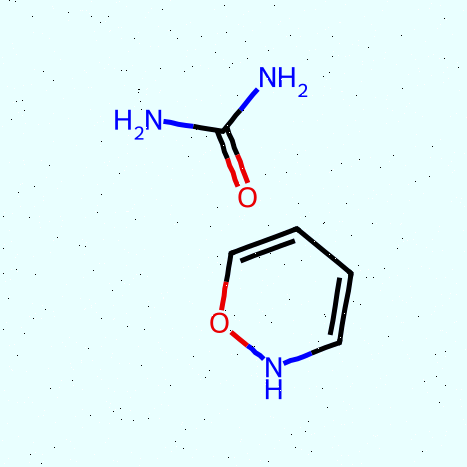 C1=CNOC=C1.NC(N)=O